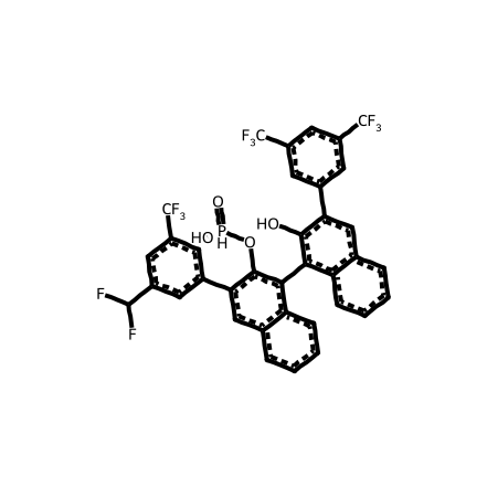 O=[PH](O)Oc1c(-c2cc(C(F)F)cc(C(F)(F)F)c2)cc2ccccc2c1-c1c(O)c(-c2cc(C(F)(F)F)cc(C(F)(F)F)c2)cc2ccccc12